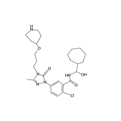 Cc1nn(-c2ccc(Cl)c(C(=O)NC(O)C3CCCCCC3)c2)c(=O)n1CCCOC1CCNCC1